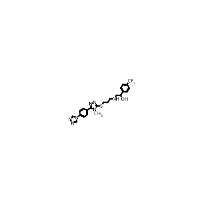 Cn1c(SCCCNCC(O)c2ccc(C(F)(F)F)cc2)nnc1-c1ccc(-n2cnnc2)cc1